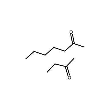 CCC(C)=O.CCCCCC(C)=O